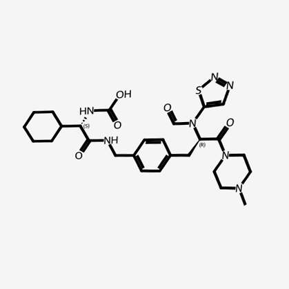 CN1CCN(C(=O)[C@@H](Cc2ccc(CNC(=O)[C@@H](NC(=O)O)C3CCCCC3)cc2)N(C=O)c2cnns2)CC1